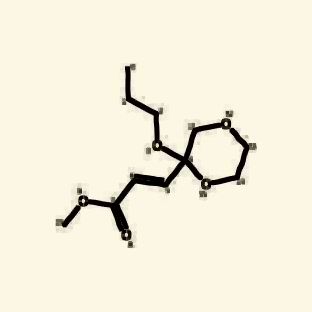 CCCOC1(/C=C/C(=O)OC)COCCO1